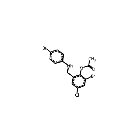 CC(=O)Oc1c(Br)cc(Cl)cc1CNc1ccc(Br)cc1